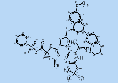 C=C[C@@H]1C[C@]1(NC(=O)[C@@H]1C[C@@H](Oc2cc(-c3ccc4c(n3)CCCC4)nc3cc(OC)ccc23)CN1C(=O)[C@@H](NC(=O)OC(C)(C)C)C(C)C)C(=O)NS(=O)(=O)c1ccccc1